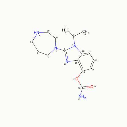 CC(C)n1c(N2CCCNCC2)nc2c(OC(N)=O)cccc21